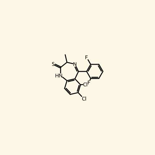 CC1N=C(c2c(F)cccc2F)c2c(ccc(Cl)c2Cl)NC1=S